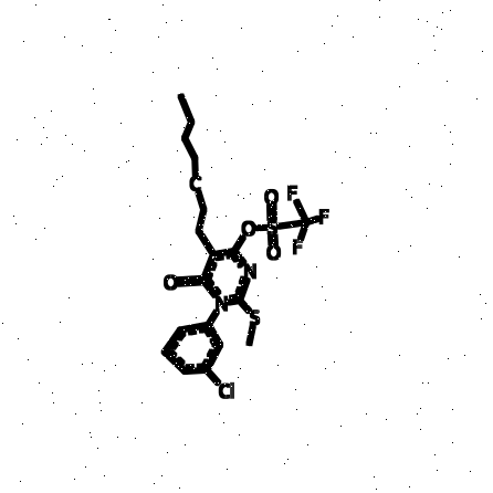 CCCCCCCc1c(OS(=O)(=O)C(F)(F)F)nc(SC)n(-c2cccc(Cl)c2)c1=O